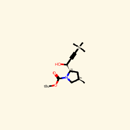 C[C@@H]1C[C@@H](C(O)C#C[Si](C)(C)C)N(C(=O)OC(C)(C)C)C1